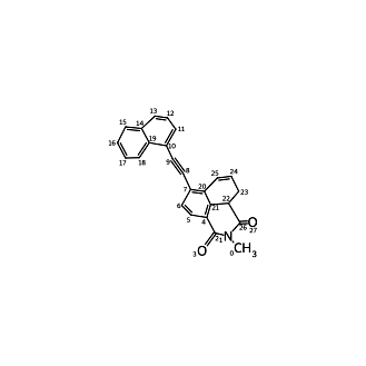 CN1C(=O)c2ccc(C#Cc3cccc4ccccc34)c3c2C(CC=C3)C1=O